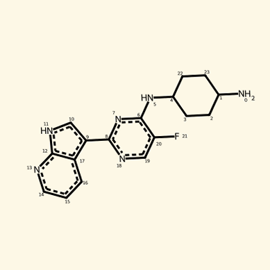 NC1CCC(Nc2nc(-c3c[nH]c4ncccc34)ncc2F)CC1